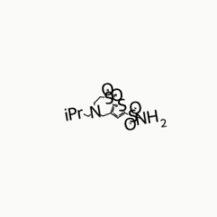 CC(C)CN1CCS(=O)(=O)c2sc(S(N)(=O)=O)cc2C1